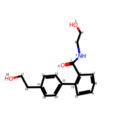 O=C(NCCO)c1[c]cccc1-c1ccc(CCO)cc1